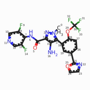 Cn1nc(C(=O)Nc2c(F)cncc2F)c(N)c1-c1cc(-c2ncco2)ccc1OC(F)(F)F